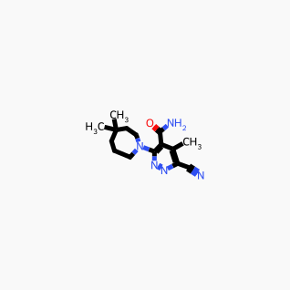 Cc1c(C#N)nnc(N2CCCC(C)(C)CC2)c1C(N)=O